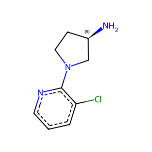 N[C@@H]1CCN(c2ncccc2Cl)C1